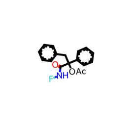 CC(=O)OC(Cc1ccccc1)(C(=O)NF)c1ccccc1